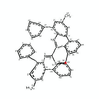 Cc1cc(-c2ccccc2)c(N=C2SCCSC2=Nc2c(-c3ccccc3)cc(C)cc2-c2ccccc2)c(-c2ccccc2)c1